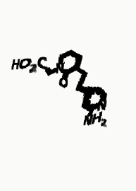 Nc1cc(CC[C@@H]2CCCN(CC(=O)O)C2=O)ccn1